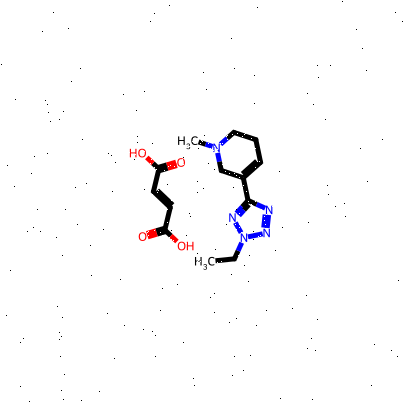 CCn1nnc(C2=CCCN(C)C2)n1.O=C(O)C=CC(=O)O